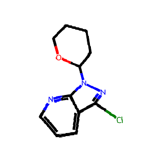 Clc1nn(C2CCCCO2)c2ncccc12